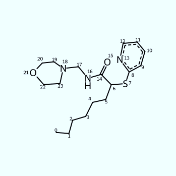 CCCCCCC(Sc1ccccn1)C(=O)NCN1CCOCC1